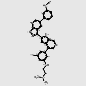 CC(C)Nc1cccc(-c2cnc3[nH]nc(-c4cc5c(-c6cc(F)cc(NCCN(C)C)c6)cncc5[nH]4)c3c2)c1